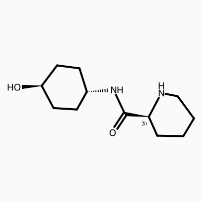 O=C(N[C@H]1CC[C@H](O)CC1)[C@@H]1CCCCN1